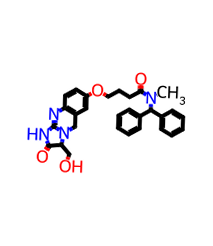 CN(C(=O)CCCOc1ccc2c(c1)CN1C(=N2)NC(=O)C1CO)C(c1ccccc1)c1ccccc1